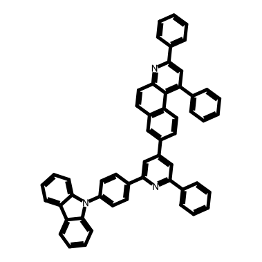 c1ccc(-c2cc(-c3ccc4c(ccc5nc(-c6ccccc6)cc(-c6ccccc6)c54)c3)cc(-c3ccc(-n4c5ccccc5c5ccccc54)cc3)n2)cc1